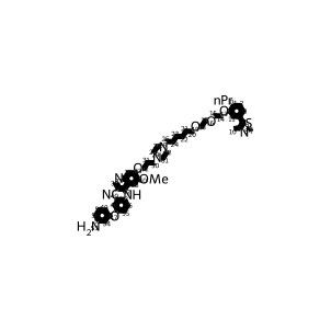 CCCc1ccc(-c2scnc2C)cc1OCCOCCOCCCCCCN1CCN(CCCOc2cc3ncc(C#N)c(Nc4ccc(Oc5cccc(N)c5)cc4)c3cc2OC)CC1